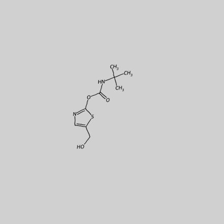 CC(C)(C)NC(=O)Oc1ncc(CO)s1